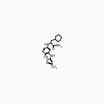 Cc1cc(Nc2cc(NC(CC3CCCCC3)C(N)=O)cnc2C#N)sn1